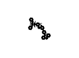 CC1(C)c2cc(-c3ccc(N4c5ccccc5C(C)(C)c5ccccc54)cc3)ccc2Sc2ccc(-c3nc(-c4ccccc4)nc(-c4ccccc4)n3)cc21